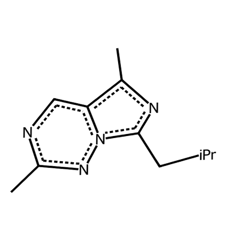 Cc1ncc2c(C)nc(CC(C)C)n2n1